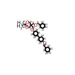 CC1(C)OCC(COCc2ccccc2)(COc2ccc(-c3ccc(OCc4ccccc4)cc3)cc2)CO1